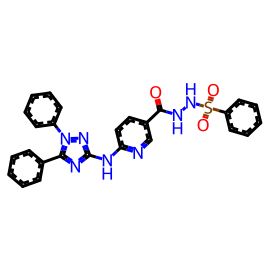 O=C(NNS(=O)(=O)c1ccccc1)c1ccc(Nc2nc(-c3ccccc3)n(-c3ccccc3)n2)nc1